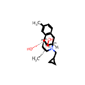 Cc1ccc2c(c1)[C@]13CCN(CC4CC4)[C@H](C2)[C@]1(O)C[C@H](C)[C@H](O)C3